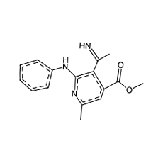 COC(=O)c1cc(C)nc(Nc2ccccc2)c1C(C)=N